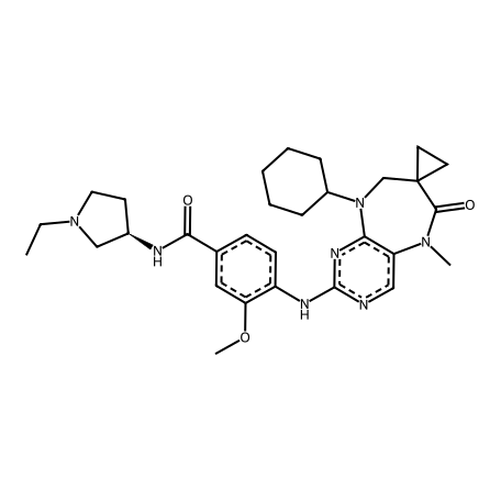 CCN1CC[C@@H](NC(=O)c2ccc(Nc3ncc4c(n3)N(C3CCCCC3)CC3(CC3)C(=O)N4C)c(OC)c2)C1